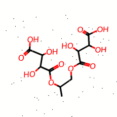 CC(COC(=O)C(O)C(O)C(=O)O)OC(=O)C(O)C(O)C(=O)O